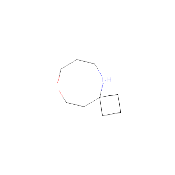 C1CNC2(CCC2)CCOC1